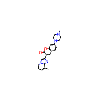 Cc1cccn2cc(-c3cc4ccc(N5CCN(C)CC5)cc4oc3=O)nc12